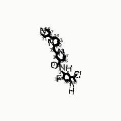 O=C(NCc1cc2c(Cl)c[nH]c2cc1F)c1ccnc(Cc2cccc(-c3ccncc3)n2)c1